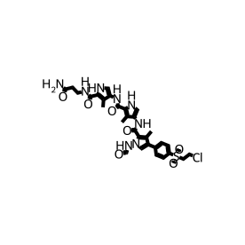 Cc1c(NC(=O)c2[nH]cc(NC(=O)c3c(C)c(-c4ccc(S(=O)(=O)CCCl)cc4)cn3NC=O)c2C)c[nH]c1C(=O)NCCC(N)=O